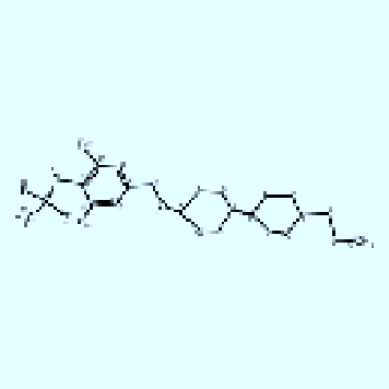 CCCC1CCC(C2CCC(OCc3cc(F)c(OC(C)(F)F)c(F)c3)CC2)CC1